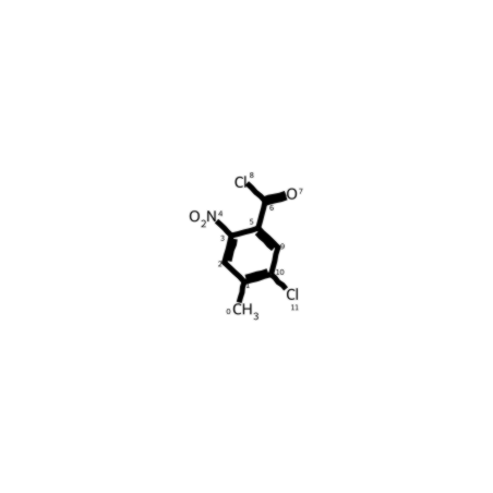 Cc1cc([N+](=O)[O-])c(C(=O)Cl)cc1Cl